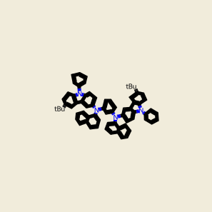 CC(C)(C)c1ccc2c(c1)c1cc(N(c3cccc(N(c4ccc5c(c4)c4cc(C(C)(C)C)ccc4n5-c4ccccc4)c4cccc5ccccc45)c3)c3cccc4ccccc34)ccc1n2-c1ccccc1